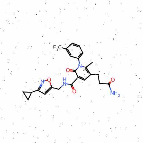 Cc1c(CCC(N)=O)cc(C(=O)NCc2cc(C3CC3)no2)c(=O)n1-c1cccc(C(F)(F)F)c1